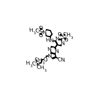 C[Si](C)(C)CCOCn1cc(C#N)c2nc(-c3cnc(S(C)(=O)=O)nc3NC3CCCN(S(C)(=O)=O)C3)cnc21